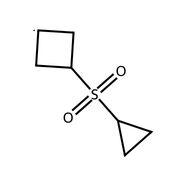 O=S(=O)(C1C[CH]C1)C1CC1